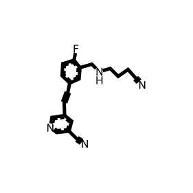 N#CCCCNCc1cc(C#Cc2cncc(C#N)c2)ccc1F